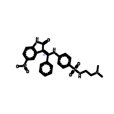 CN(C)CCNS(=O)(=O)c1ccc(N/C(=C2\C(=O)Nc3ccc([N+](=O)[O-])cc32)c2ccccc2)cc1